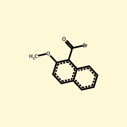 COc1ccc2ccccc2c1C(=O)Br